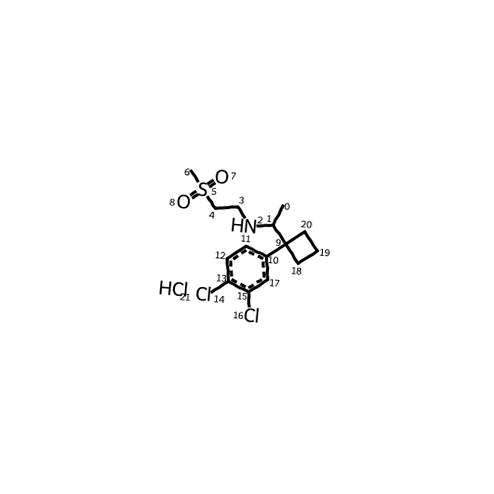 CC(NCCS(C)(=O)=O)C1(c2ccc(Cl)c(Cl)c2)CCC1.Cl